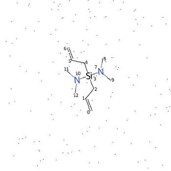 C=CC[Si](CC=C)(N(C)C)N(C)C